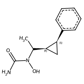 CC([C@@H]1C[C@@H]1c1ccccc1)N(O)C(N)=O